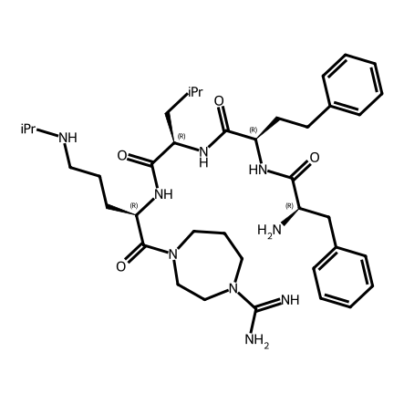 CC(C)C[C@@H](NC(=O)[C@@H](CCc1ccccc1)NC(=O)[C@H](N)Cc1ccccc1)C(=O)N[C@H](CCCNC(C)C)C(=O)N1CCCN(C(=N)N)CC1